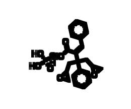 O=C(O)C(=Cc1ccccc1)C(CC1CO1)(CC1CO1)c1ccccc1.O=P(O)(O)O